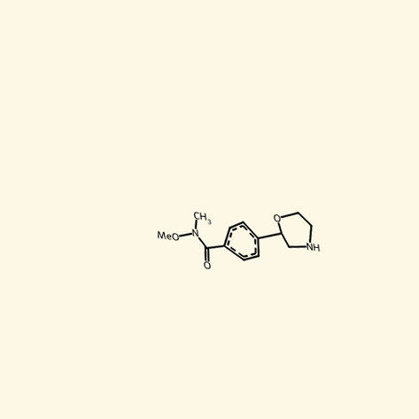 CON(C)C(=O)c1ccc(C2CNCCO2)cc1